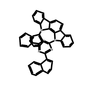 c1ccc(-c2nc(-c3cccc4ccccc34)nc(-n3c4ccccc4c4ccc5c6ccccc6n(-c6ccccc6)c5c43)n2)cc1